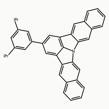 CC(C)c1cc(-c2cc3c4cc5ccccc5cc4n4c5cc6ccccc6cc5c(c2)c34)cc(C(C)C)c1